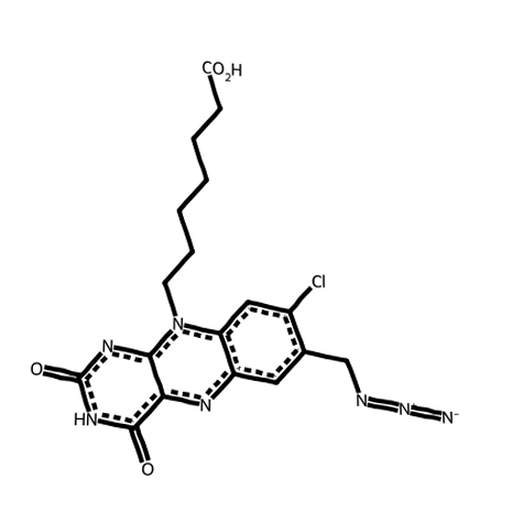 [N-]=[N+]=NCc1cc2nc3c(=O)[nH]c(=O)nc-3n(CCCCCCC(=O)O)c2cc1Cl